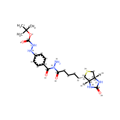 CC(C)(C)OC(=O)NNc1ccc(C(=O)N(N)C(=O)CCCC[C@@H]2SC[C@@H]3NC(=O)N[C@@H]32)cc1